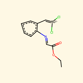 CCOC(=O)C=Nc1ccccc1[CH]=[Ru-2]([Cl])[Cl]